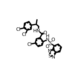 CC(CNC(=O)c1cc(Cl)ccc1NS(=O)(=O)c1cccc2nsnc12)c1ccc(Cl)c(Cl)c1